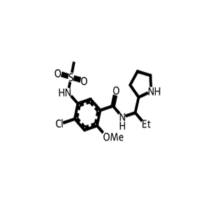 CCC(NC(=O)c1cc(NS(C)(=O)=O)c(Cl)cc1OC)C1CCCN1